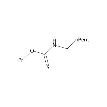 CCCCCCNC(=S)OC(C)C